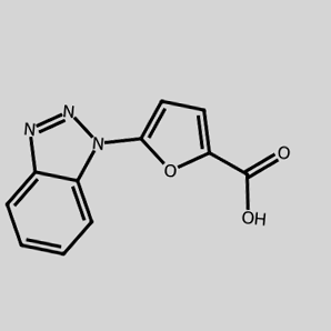 O=C(O)c1ccc(-n2nnc3ccccc32)o1